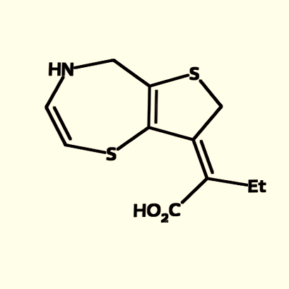 CC/C(C(=O)O)=C1\CSC2=C1SC=CNC2